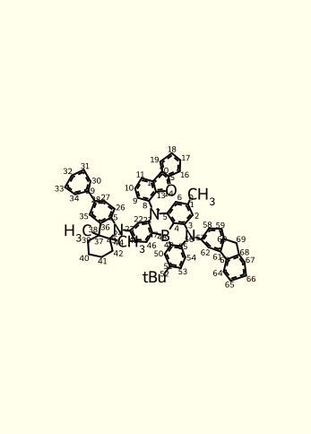 Cc1cc2c3c(c1)N(c1cccc4c1oc1ccccc14)c1cc(N4c5ccc(-c6ccccc6)cc5C5(C)CCCCC45C)ccc1B3c1cc(C(C)(C)C)ccc1N2c1ccc2c(c1)-c1ccccc1C2